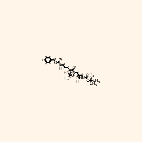 CC(C)(C)OC(=O)NCC(O)CNC(=O)[C@H](CCCNC(=O)OCc1ccccc1)NC(=O)O